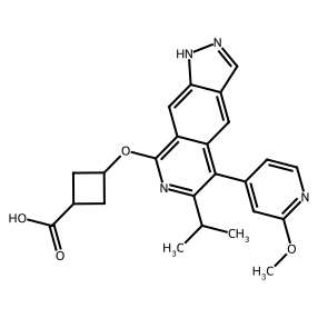 COc1cc(-c2c(C(C)C)nc(OC3CC(C(=O)O)C3)c3cc4[nH]ncc4cc23)ccn1